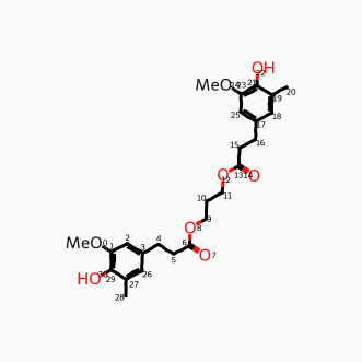 COc1cc(CCC(=O)OCCCOC(=O)CCc2cc(C)c(O)c(OC)c2)cc(C)c1O